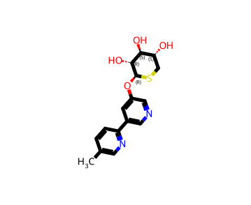 Cc1ccc(-c2cncc(O[C@@H]3SC[C@@H](O)[C@H](O)[C@H]3O)c2)nc1